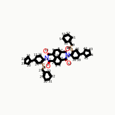 O=C1c2ccc3c4c(ccc(c24)C(=O)N1c1ccc(C2=CCC=C2)cc1SCc1ccccc1)C(=O)N(c1ccc(C2C=CC=C2)cc1SCc1ccccc1)C3=O